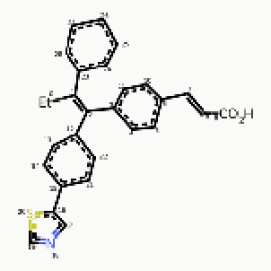 CCC(=C(c1ccc(C=CC(=O)O)cc1)c1ccc(-c2cncs2)cc1)c1ccccc1